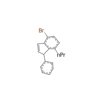 CCCc1ccc(Br)c2c1C(c1ccccc1)C=C2